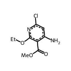 CCOc1nc(Cl)cc(N)c1C(=O)OC